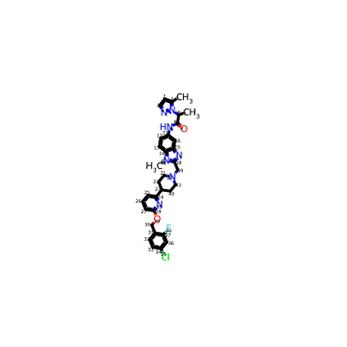 Cc1ccnn1C(C)C(=O)Nc1ccc2c(c1)nc(CN1CCC(c3cccc(OCc4ccc(Cl)cc4F)n3)CC1)n2C